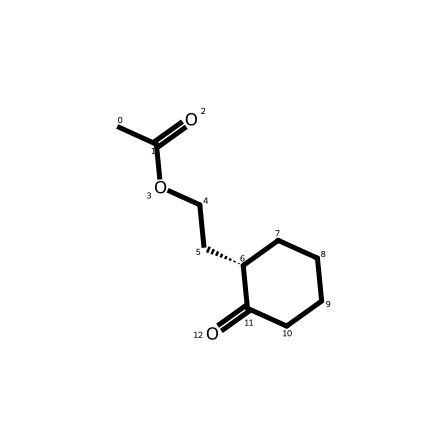 CC(=O)OCC[C@@H]1CCCCC1=O